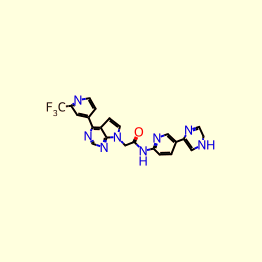 O=C(Cn1ccc2c(-c3ccnc(C(F)(F)F)c3)ncnc21)Nc1ccc(C2=CNCC=N2)cn1